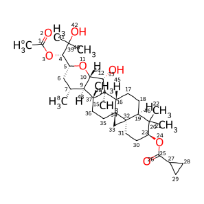 CC(=O)O[C@@H]([C@H]1C[C@@H](C)[C@H]2[C@H](O1)[C@H](O)[C@@]1(C)[C@@H]3CC[C@H]4C(C)(C)[C@@H](OC(=O)C5CC5)CC[C@@]45C[C@@]35CC[C@]21C)C(C)(C)O